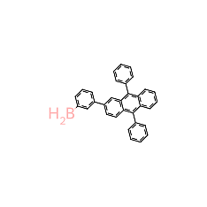 Bc1cccc(-c2ccc3c(-c4ccccc4)c4ccccc4c(-c4ccccc4)c3c2)c1